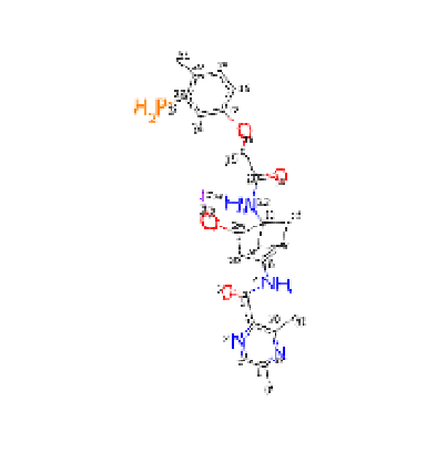 Cc1cnc(C(=O)NC2=C3CC(NC(=O)COc4ccc(C)c(P)c4)(C3)C(OI)C2)c(C)n1